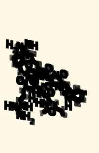 CCCC[C@H](NC(C)=O)C(=O)N[C@@H](C)C(=O)N[C@@H](CCCNC(=N)N)C(=O)N[C@H](Cc1ccccc1)C(=O)N[C@@H](CCCNC(=N)N)C(=O)N[C@@H](C)C(=O)N[C@@H](Cc1c[nH]c2ccccc12)C(N)=O